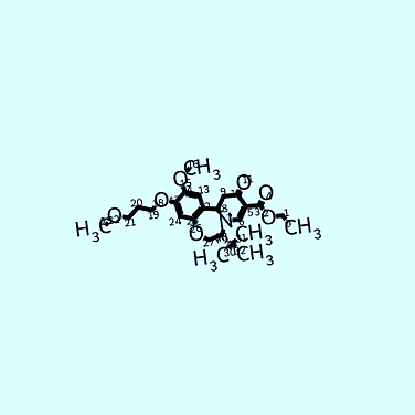 CCOC(=O)C1=CN2C(CC1=O)c1cc(OC)c(OCCCOC)cc1OC[C@H]2C(C)(C)C